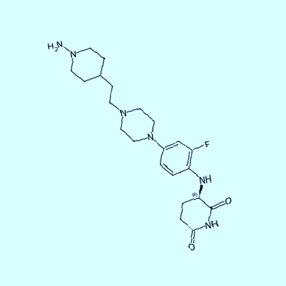 NN1CCC(CCN2CCN(c3ccc(N[C@@H]4CCC(=O)NC4=O)c(F)c3)CC2)CC1